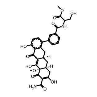 COC(=O)C(CO)NC(=O)c1cccc(-c2ccc(O)c3c2C[C@H]2C[C@H]4CC(O)=C(C(N)=O)C(=O)[C@@]4(O)C(O)=C2C3=O)c1